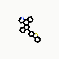 c1ccc2c(c1)sc1cc(-c3cc4c5ccccc5c5ncccc5c4c4ccccc34)ccc12